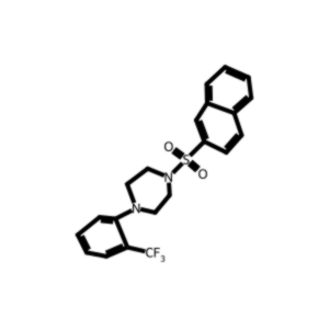 O=S(=O)(c1ccc2ccccc2c1)N1CCN(c2ccccc2C(F)(F)F)CC1